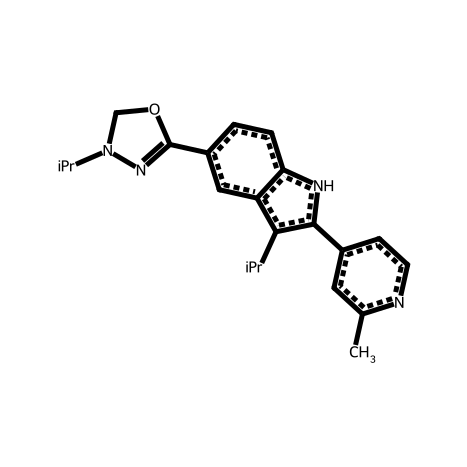 Cc1cc(-c2[nH]c3ccc(C4=NN(C(C)C)CO4)cc3c2C(C)C)ccn1